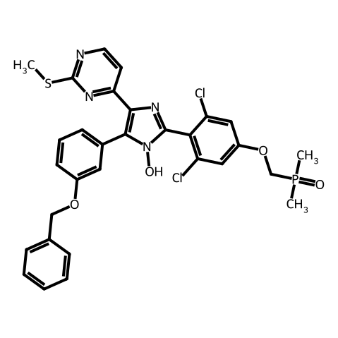 CSc1nccc(-c2nc(-c3c(Cl)cc(OCP(C)(C)=O)cc3Cl)n(O)c2-c2cccc(OCc3ccccc3)c2)n1